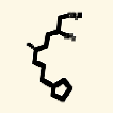 C[C@@H](CCCC1CCCC1)CC[C@H](N)CC(=O)O